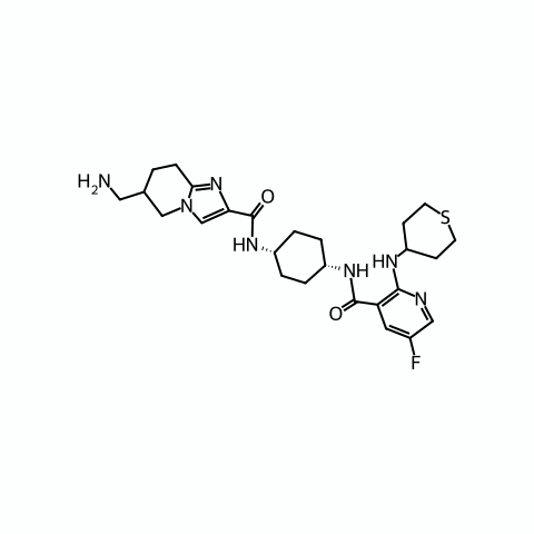 NCC1CCc2nc(C(=O)N[C@H]3CC[C@@H](NC(=O)c4cc(F)cnc4NC4CCSCC4)CC3)cn2C1